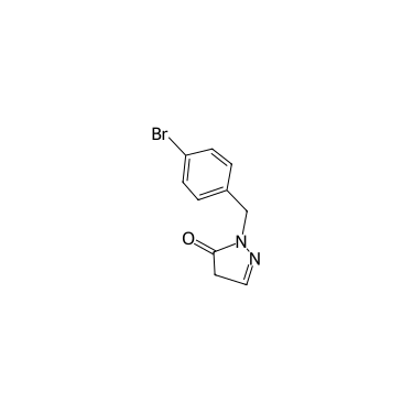 O=C1CC=NN1Cc1ccc(Br)cc1